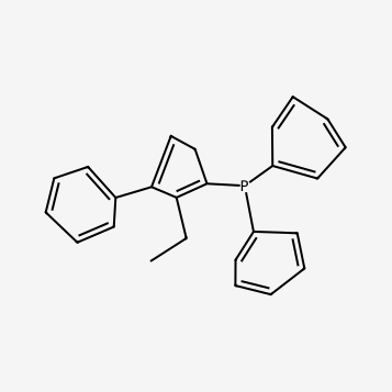 CCC1=C(P(c2ccccc2)c2ccccc2)CC=C1c1ccccc1